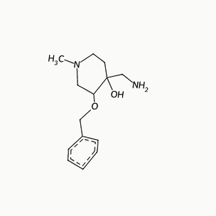 CN1CCC(O)(CN)C(OCc2ccccc2)C1